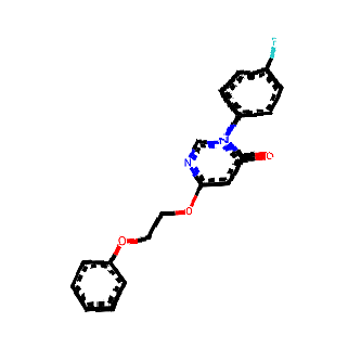 O=c1cc(OCCOc2ccccc2)ncn1-c1ccc(F)cc1